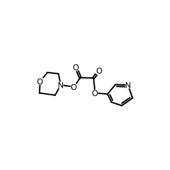 O=C(Oc1cccnc1)C(=O)ON1CCOCC1